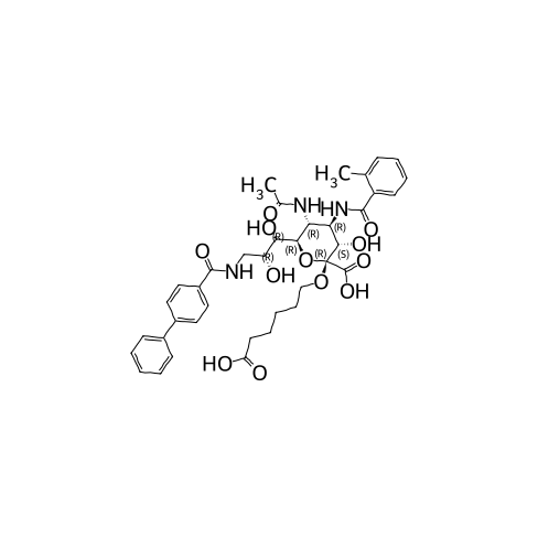 CC(=O)N[C@@H]1[C@@H](NC(=O)c2ccccc2C)[C@H](O)[C@](OCCCCCC(=O)O)(C(=O)O)O[C@H]1[C@H](O)[C@H](O)CNC(=O)c1ccc(-c2ccccc2)cc1